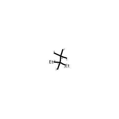 CCC(C)(CC)C(C)(C)C